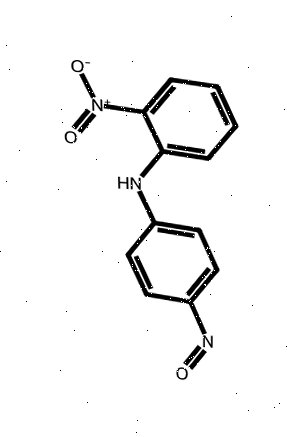 O=Nc1ccc(Nc2ccccc2[N+](=O)[O-])cc1